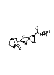 O=C(NO)c1ccc2nc(-c3cc4ccccc4o3)sc2c1